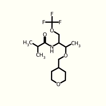 CC(C)C(=O)NC(COC(F)(F)F)C(C)OCC1CCOCC1